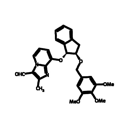 COc1cc(CO[C@@H]2Cc3ccccc3[C@H]2Oc2cccn3c(C=O)c(C)nc23)cc(OC)c1OC